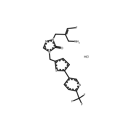 Cl.NC/C(=C\F)Cn1ncn(Cc2ccc(-c3ccc(C(F)(F)F)nc3)s2)c1=O